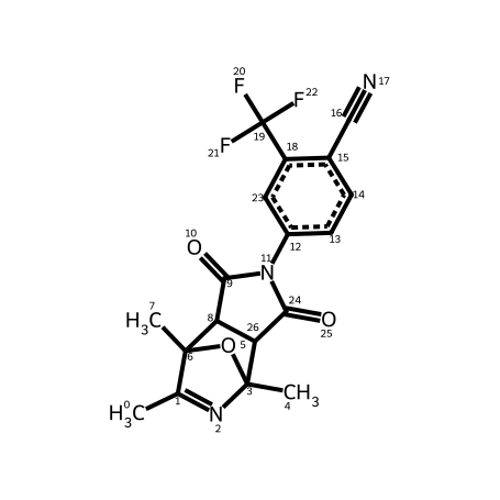 CC1=NC2(C)OC1(C)C1C(=O)N(c3ccc(C#N)c(C(F)(F)F)c3)C(=O)C12